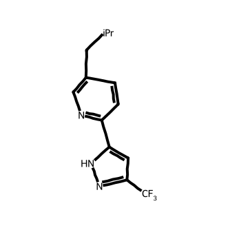 CC(C)Cc1ccc(-c2cc(C(F)(F)F)n[nH]2)nc1